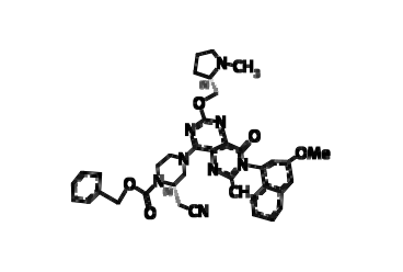 COc1cc(-n2c(C)nc3c(N4CCN(C(=O)OCc5ccccc5)[C@@H](CC#N)C4)nc(OC[C@@H]4CCCN4C)nc3c2=O)c2ccccc2c1